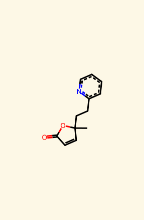 CC1(CCc2ccccn2)C=CC(=O)O1